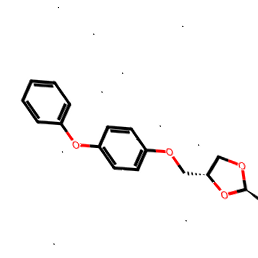 CC[C@@H]1OC[C@@H](COc2ccc(Oc3ccccc3)cc2)O1